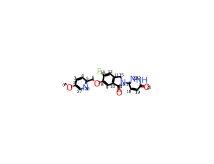 COc1ccc(COc2cc3c(cc2F)CN(c2ccc(=O)[nH]n2)C3=O)nc1